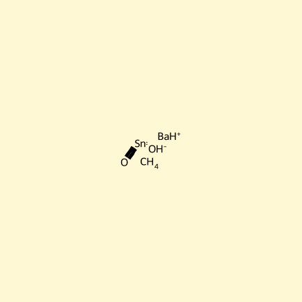 C.[BaH+].[OH-].[O]=[Sn]